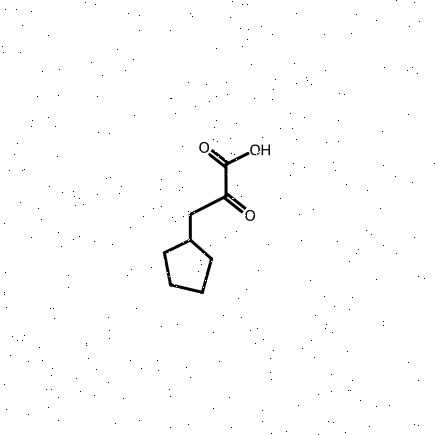 O=C(O)C(=O)CC1CCCC1